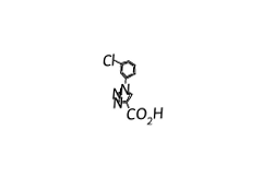 O=C(O)c1cn(-c2cccc(Cl)c2)nn1